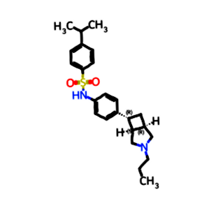 CCCN1C[C@@H]2C[C@@H](c3ccc(NS(=O)(=O)c4ccc(C(C)C)cc4)cc3)[C@@H]2C1